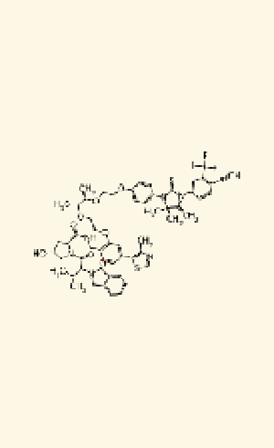 C#Cc1ccc(N2C(=C)C(C)(C)N(c3ccc(OCCO[C@H](C)[C@@H](C)OCCOc4cc(-c5scnc5C)ccc4CNC(=O)[C@@H]4C[C@@H](O)CN4C(=O)C(C(C)C)N4Cc5ccccc5C4=O)cc3)C2=S)cc1C(F)(F)F